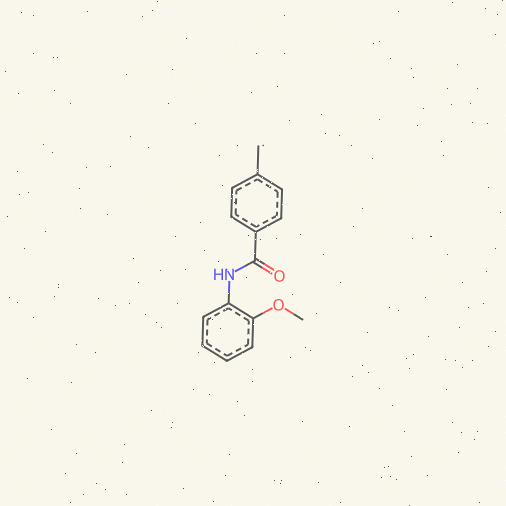 [CH2]c1ccc(C(=O)Nc2ccccc2OC)cc1